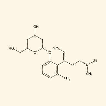 CCC/C=C(/CCN(C)CC)c1c(C)cccc1OC1CC(O)CC(CO)O1